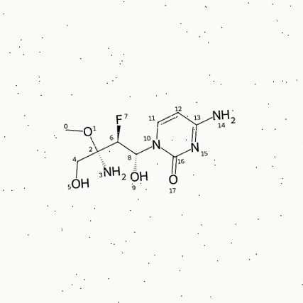 CO[C@](N)(CO)[C@@H](F)[C@@H](O)n1ccc(N)nc1=O